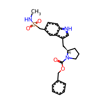 CNS(=O)(=O)Cc1ccc2[nH]cc(C[C@H]3CCCN3C(=O)OCc3ccccc3)c2c1